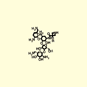 NCC1=CC[C@@H](N)[C@@H](O[C@H]2[C@H](O[C@@H]3O[C@H](CO)[C@@H](O[C@H]4O[C@@H](CN)[C@@H](O)[C@H](O)[C@H]4N)[C@H]3O)[C@@H](O)[C@H](NC(=O)C3(O)CNC3)C[C@@H]2N)O1